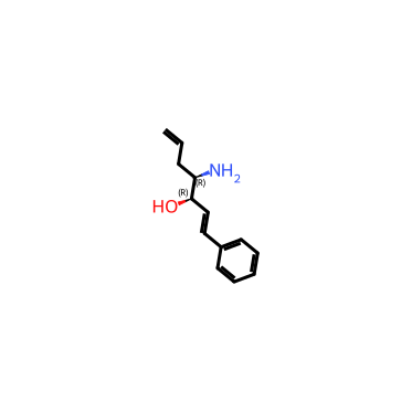 C=CC[C@@H](N)[C@H](O)C=Cc1ccccc1